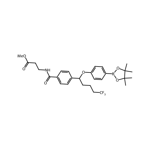 COC(=O)CCNC(=O)c1ccc(C(CCCC(F)(F)F)Oc2ccc(B3OC(C)(C)C(C)(C)O3)cc2)cc1